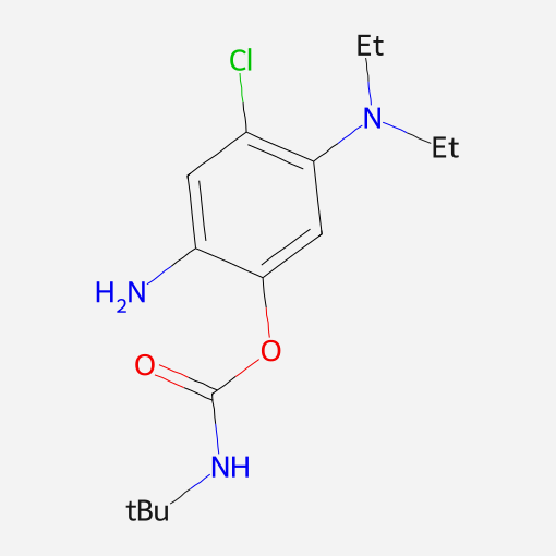 CCN(CC)c1cc(OC(=O)NC(C)(C)C)c(N)cc1Cl